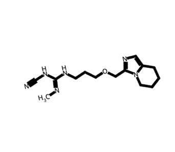 CN=C(NC#N)NCCCOCc1ncc2n1CCCC2